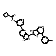 Cc1cccc(-c2cncc3[nH]c(-c4n[nH]c5ccc(-c6cncc(NC(=O)C7CCC7)c6)nc45)nc23)c1